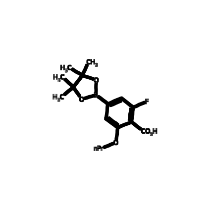 CCCOc1cc(B2OC(C)(C)C(C)(C)O2)cc(F)c1C(=O)O